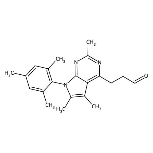 Cc1cc(C)c(-n2c(C)c(C)c3c(CCC=O)nc(C)nc32)c(C)c1